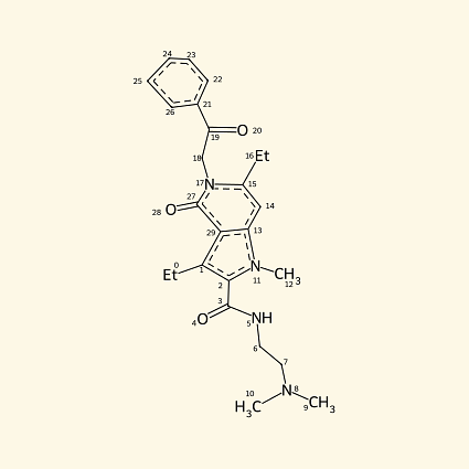 CCc1c(C(=O)NCCN(C)C)n(C)c2cc(CC)n(CC(=O)c3ccccc3)c(=O)c12